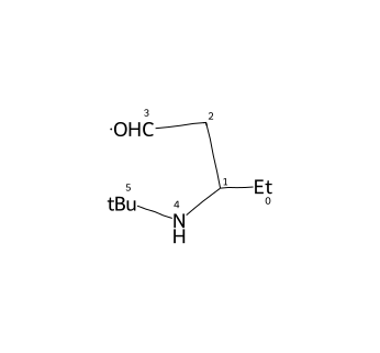 CCC(C[C]=O)NC(C)(C)C